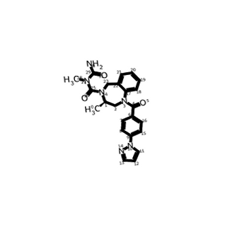 C[C@@H]1CN(C(=O)c2ccc(-n3cccn3)cc2)c2ccccc2CN1C(=O)N(C)C(N)=O